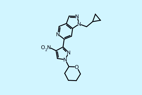 O=[N+]([O-])c1cn(C2CCCCO2)nc1-c1cc2c(cn1)cnn2CC1CC1